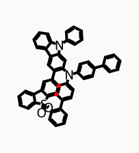 O=S1(=O)c2ccccc2-c2cc(-c3cc4c5ccccc5n(-c5ccccc5)c4cc3N(c3ccc(-c4ccccc4)cc3)c3ccc(-c4ccccc4)cc3)ccc21